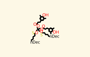 CCCCCCCCCCCCCCC(=S)OCC(COC(=O)CCc1cc(C)c(O)c(C)c1)(COC(=O)CCc1cc(C)c(O)c(C)c1)COC(=S)CCCCCCCCCCCCCC